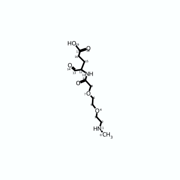 CNCCOCCOCC(=O)NC(C=O)CCC(=O)O